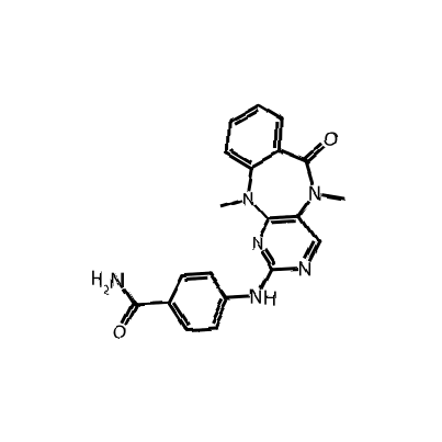 CN1C(=O)c2ccccc2N(C)c2nc(Nc3ccc(C(N)=O)cc3)ncc21